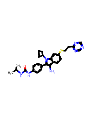 CC(C)NC(=O)Nc1ccc(-c2c(N)c3ccc(SCCc4ncncn4)cc3n2C2CCC2)cc1